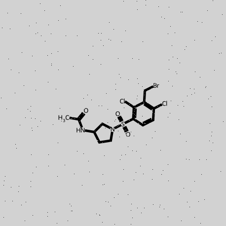 CC(=O)NC1CCN(S(=O)(=O)c2ccc(Cl)c(CBr)c2Cl)C1